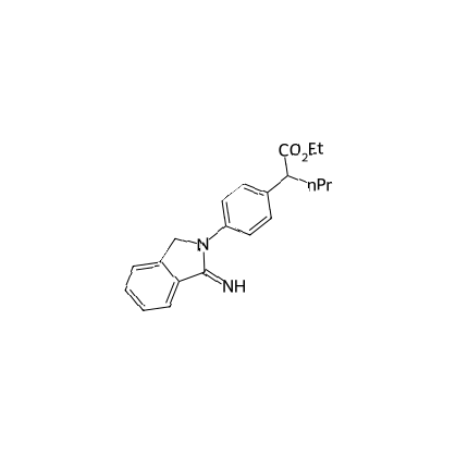 CCCC(C(=O)OCC)c1ccc(N2Cc3ccccc3C2=N)cc1